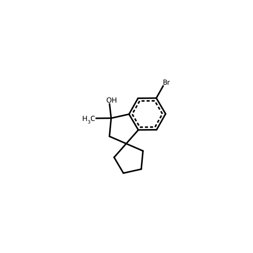 CC1(O)CC2(CCCC2)c2ccc(Br)cc21